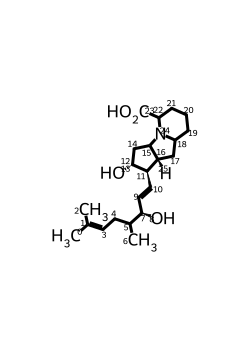 CC(C)=CCC(C)[C@H](O)/C=C/[C@H]1[C@H](O)CC2[C@@H]1CC1CCCC(C(=O)O)N12